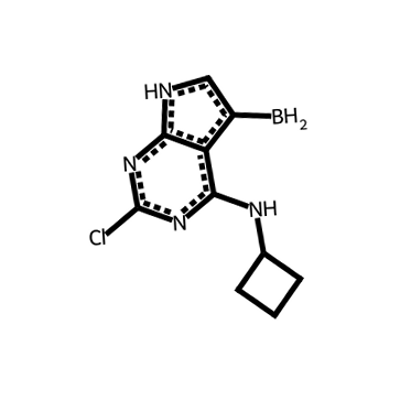 Bc1c[nH]c2nc(Cl)nc(NC3CCC3)c12